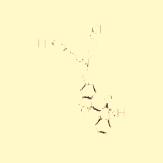 CCOCCN(CCOCC)CCc1ccc2c(c1)COC2=C1C(=O)Nc2ccccc21